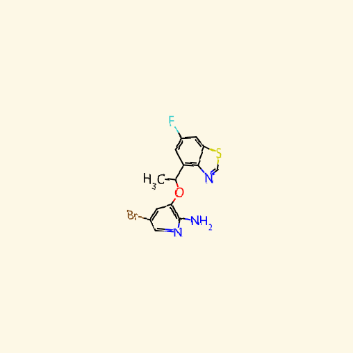 CC(Oc1cc(Br)cnc1N)c1cc(F)cc2scnc12